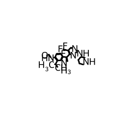 CC(C)c1c(NC=O)ccc2c(-c3nc(NC4CCCNC4)ncc3C(F)(F)F)c[nH]c12